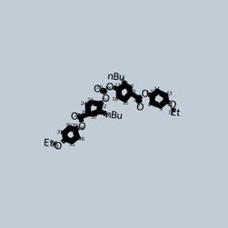 CCCCc1cc(C(=O)Oc2ccc(OCC)cc2)ccc1OC(=O)Oc1ccc(C(=O)Oc2ccc(OCC)cc2)cc1CCCC